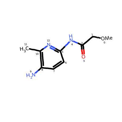 COCC(=O)Nc1ccc(N)c(C)n1